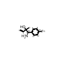 C=CC(C)(O)[C@H](N)c1ccc(F)cc1